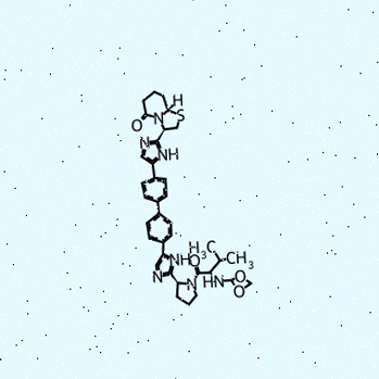 CC(C)[C@H](NC1OCO1)C(=O)N1CCC[C@H]1c1ncc(-c2ccc(-c3ccc(-c4cnc([C@@H]5CS[C@H]6CCCC(=O)N65)[nH]4)cc3)cc2)[nH]1